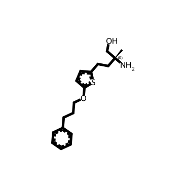 C[C@](N)(CO)CCc1ccc(OCCCc2ccccc2)s1